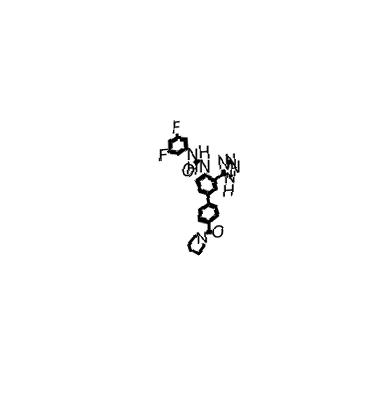 O=C(Nc1cc(F)cc(F)c1)Nc1ccc(-c2ccc(C(=O)N3CCCCC3)cc2)cc1-c1nnn[nH]1